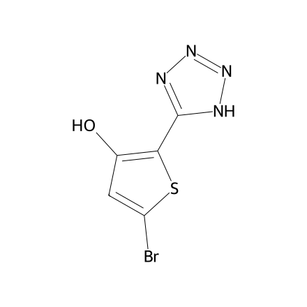 Oc1cc(Br)sc1-c1nnn[nH]1